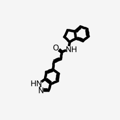 O=C(C=Cc1ccc2cn[nH]c2c1)NC1CCc2ccccc21